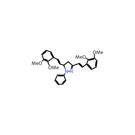 COc1cccc(C=CC2=NN(c3ccccc3)C(C=Cc3cccc(OC)c3OC)C2)c1OC